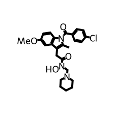 COc1ccc2c(c1)c(CC(=O)N(O)CN1CCCCC1)c(C)n2C(=O)c1ccc(Cl)cc1